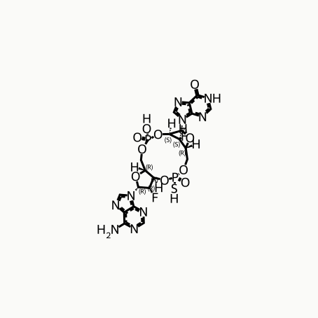 Nc1ncnc2c1ncn2[C@@H]1O[C@@H]2COP(=O)(O)O[C@@H]3[C@@H](F)[C@@H](COP(=O)(S)O[C@H]2[C@H]1F)O[C@H]3n1cnc2c(=O)[nH]cnc21